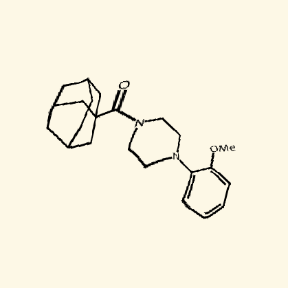 COc1ccccc1N1CCN(C(=O)C23CC4CC(CC(C4)C2)C3)CC1